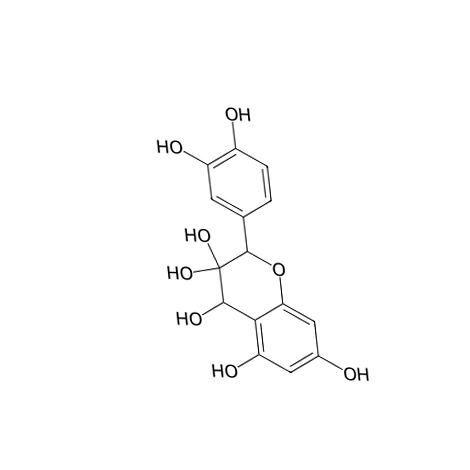 Oc1cc(O)c2c(c1)OC(c1ccc(O)c(O)c1)C(O)(O)C2O